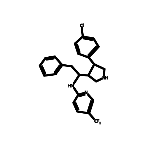 FC(F)(F)c1ccc(NC(Cc2ccccc2)C2CNCC2c2ccc(Cl)cc2)nc1